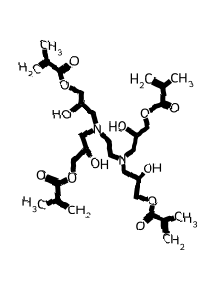 C=C(C)C(=O)OCC(O)CN(CCN(CC(O)COC(=O)C(=C)C)CC(O)COC(=O)C(=C)C)CC(O)COC(=O)C(=C)C